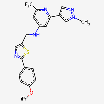 CC(C)Oc1ccc(-c2ncc(CNc3cc(-c4cnn(C)c4)nc(C(F)(F)F)c3)s2)cc1